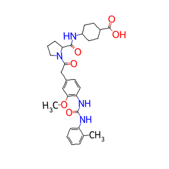 COc1cc(CC(=O)N2CCCC2C(=O)NC2CCC(C(=O)O)CC2)ccc1NC(=O)Nc1ccccc1C